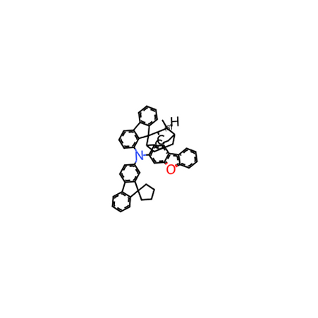 C[C@H]1C2CCC3CC(C2)CC1C31c2ccccc2-c2cccc(N(c3ccc4c(c3)C3(CCCC3)c3ccccc3-4)c3ccc4c(c3)oc3ccccc34)c21